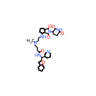 CN(CCCC(=O)NC(c1cccnc1)c1cc2ccccc2o1)CCNc1cccc2c1C(=O)N(C1CCC(=O)NC1=O)C2=O